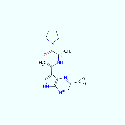 C=C(N[C@@H](C)C(=O)N1CCCC1)c1c[nH]c2ncc(C3CC3)nc12